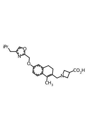 CC1=C(CN2CC(C(=O)O)C2)CCc2cc(OCc3nc(CC(C)C)co3)ccc21